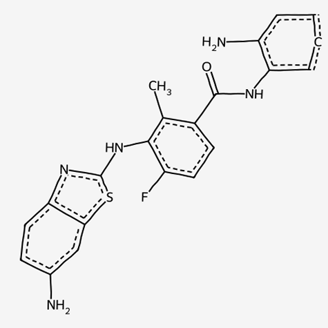 Cc1c(C(=O)Nc2ccccc2N)ccc(F)c1Nc1nc2ccc(N)cc2s1